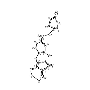 FC1=C(Cc2c[nH]c3c2=CCCN=3)CCC(NCc2ccc(Cl)cc2)=N1